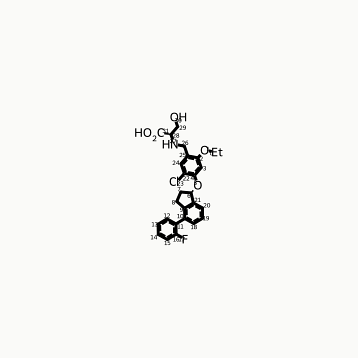 CCOc1cc(O[C@H]2CCc3c(-c4ccccc4F)cccc32)c(Cl)cc1CN[C@H](CO)C(=O)O